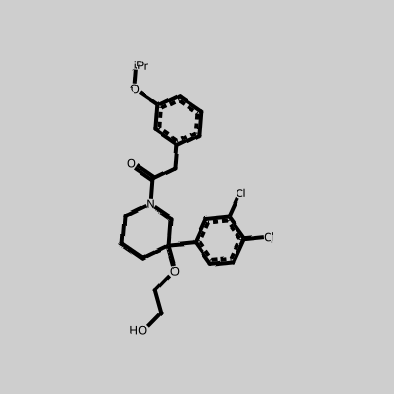 CC(C)Oc1cccc(CC(=O)N2CCCC(OCCO)(c3ccc(Cl)c(Cl)c3)C2)c1